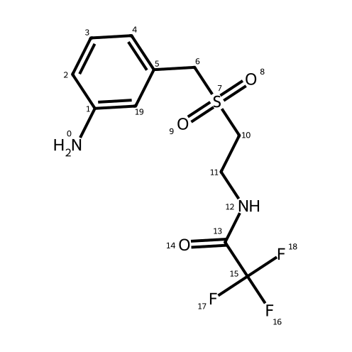 Nc1cccc(CS(=O)(=O)CCNC(=O)C(F)(F)F)c1